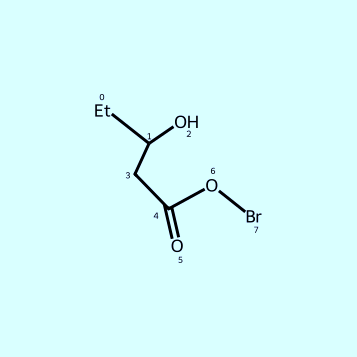 CCC(O)CC(=O)OBr